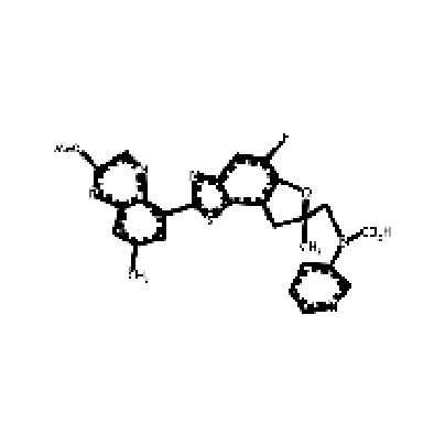 COc1cnc2c(-c3nc4cc(F)c5c(c4s3)C[C@@](C)(CN(C(=O)O)c3cccnc3)O5)cc(C)cc2n1